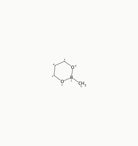 CB1OCCCO1